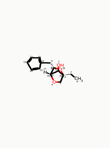 CC[C@]12CO[C@@H](C1O)[C@H](Cc1ccccc1)O2